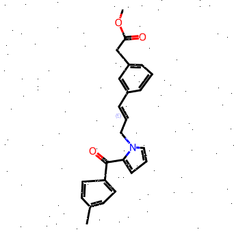 COC(=O)Cc1cccc(/C=C/Cn2cccc2C(=O)c2ccc(C)cc2)c1